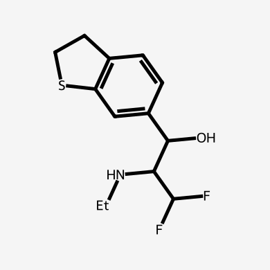 CCNC(C(F)F)C(O)c1ccc2c(c1)SCC2